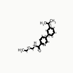 CCOCNC(=O)c1ccc(-c2cccc(C(C)C)c2)cn1